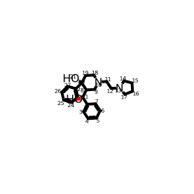 OC(c1ccccc1)C1CN(CCN2CCCC2)CCC1(O)c1ccccc1